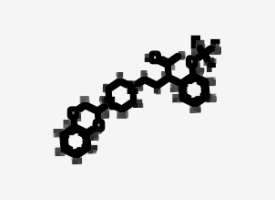 CC(=O)C(CCN1CCN(C2COc3ccccc3O2)CC1)c1ccccc1OC(F)(F)F